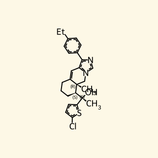 CCc1ccc(-c2ncn3c2C=C2CCC[C@H]([C@](C)(O)c4ccc(Cl)s4)[C@@]2(C)C3)cc1